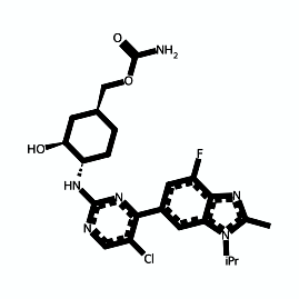 Cc1nc2c(F)cc(-c3nc(N[C@H]4CC[C@H](COC(N)=O)C[C@@H]4O)ncc3Cl)cc2n1C(C)C